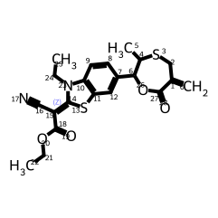 C=C1CSC(C)C(c2ccc3c(c2)S/C(=C(/C#N)C(=O)OCC)N3CC)OC1=O